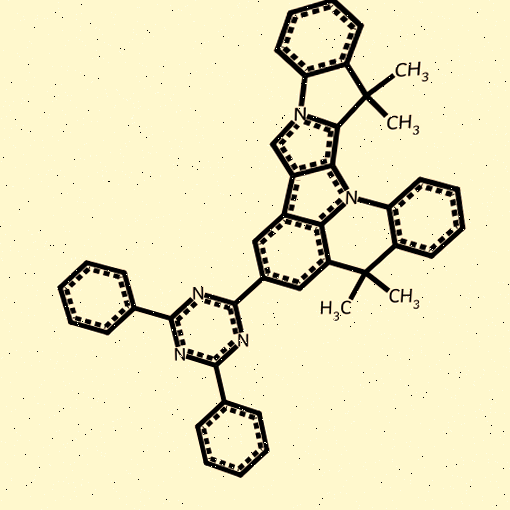 CC1(C)c2ccccc2-n2c3c1cc(-c1nc(-c4ccccc4)nc(-c4ccccc4)n1)cc3c1cn3c(c12)C(C)(C)c1ccccc1-3